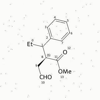 CCC(c1ccccc1)[C@H](CC=O)C(=O)OC